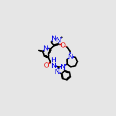 Cc1cc2cc(n1)-c1cnn(C)c1OCCN1CCCCC(C1)n1c(nc3ccccc31)NC2=O